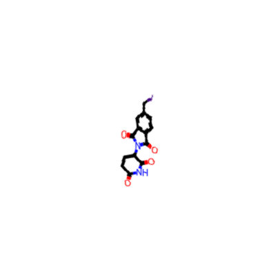 O=C1CCC(N2C(=O)c3ccc(CI)cc3C2=O)C(=O)N1